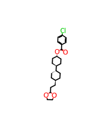 O=C(O[C@H]1CC[C@H]([C@H]2CC[C@H](CCC3OCCO3)CC2)CC1)c1ccc(Cl)cc1